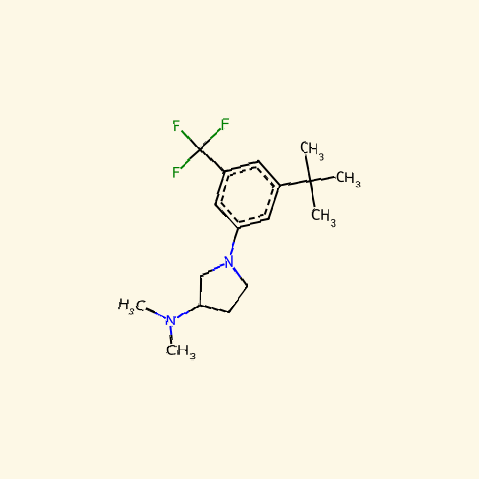 CN(C)C1CCN(c2cc(C(C)(C)C)cc(C(F)(F)F)c2)C1